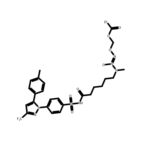 CCC(=O)OCON=[N+]([O-])N(C)CCCCCC(=O)NS(=O)(=O)c1ccc(-n2nc(C(F)(F)F)cc2-c2ccc(C)cc2)cc1